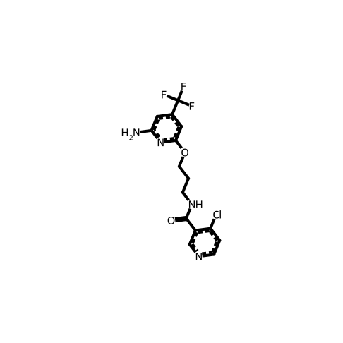 Nc1cc(C(F)(F)F)cc(OCCCNC(=O)c2cnccc2Cl)n1